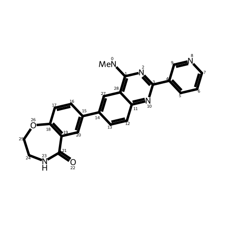 CNc1nc(-c2cccnc2)nc2ccc(-c3ccc4c(c3)C(=O)NCCO4)cc12